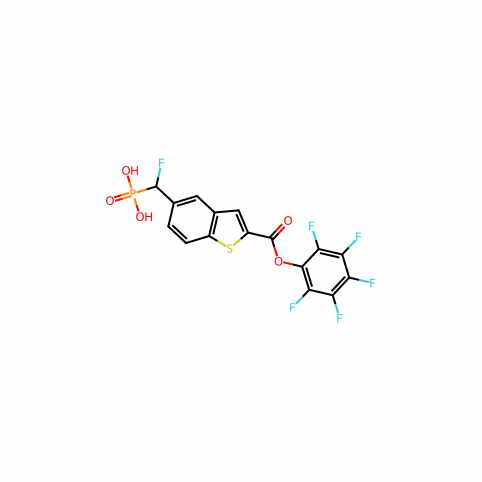 O=C(Oc1c(F)c(F)c(F)c(F)c1F)c1cc2cc(C(F)P(=O)(O)O)ccc2s1